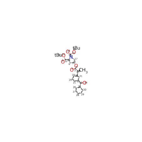 C[C@@H](C(=O)O[C@@H]1C[C@@H](C(=O)OC(C)(C)C)N(C(=O)OC(C)(C)C)C1)c1cccc(C(=O)c2ccccc2)c1